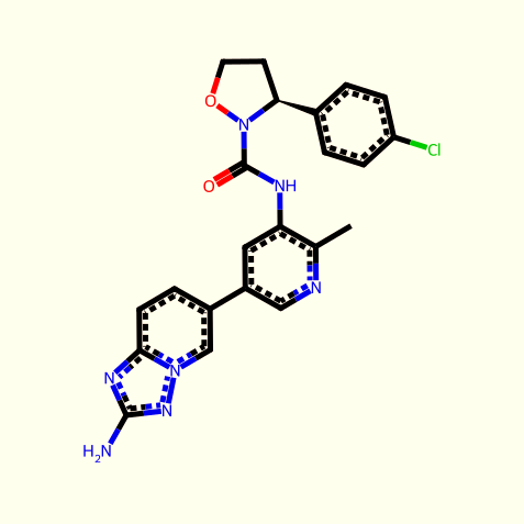 Cc1ncc(-c2ccc3nc(N)nn3c2)cc1NC(=O)N1OCC[C@H]1c1ccc(Cl)cc1